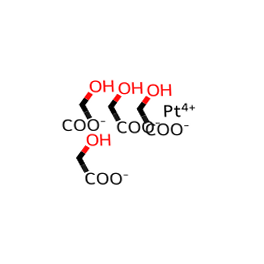 O=C([O-])CO.O=C([O-])CO.O=C([O-])CO.O=C([O-])CO.[Pt+4]